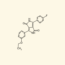 CCOc1cccc(C2=C3C(=O)NC(c4ccc(F)cc4)=C3C(=O)N2)c1